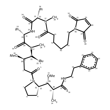 CC[C@H](C)[C@@H]([C@@H](CC(=O)N1CCC[C@H]1[C@H](OC)[C@@H](C)C(=S)NCCc1ccccc1)OC)N(C)C(=O)[C@@H](NC(=O)[C@H](C(C)C)N(C)C(=O)CCCCCN1C(=O)C=CC1=O)C(C)C